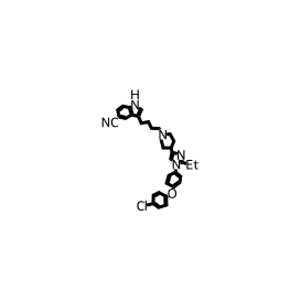 CCc1nc(C2CCN(CCCCc3c[nH]c4ccc(C#N)cc34)CC2)cn1-c1ccc(Oc2ccc(Cl)cc2)cc1